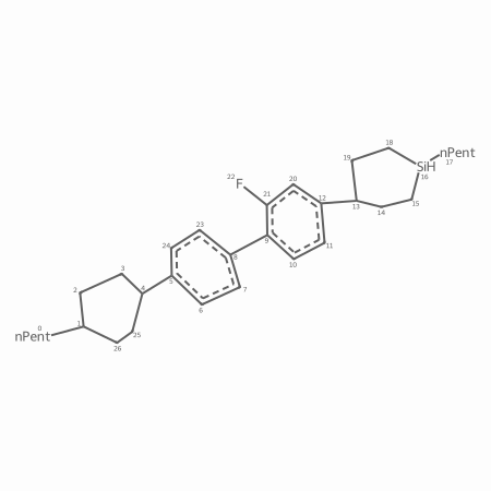 CCCCCC1CCC(c2ccc(-c3ccc(C4CC[SiH](CCCCC)CC4)cc3F)cc2)CC1